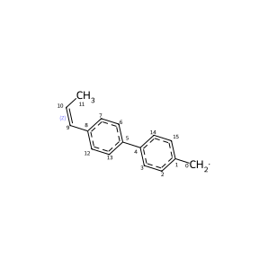 [CH2]c1ccc(-c2ccc(/C=C\C)cc2)cc1